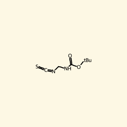 CC(C)(C)OC(=O)NCN=C=S